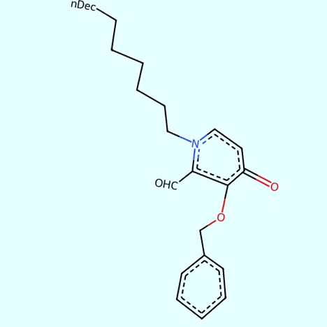 CCCCCCCCCCCCCCCCn1ccc(=O)c(OCc2ccccc2)c1C=O